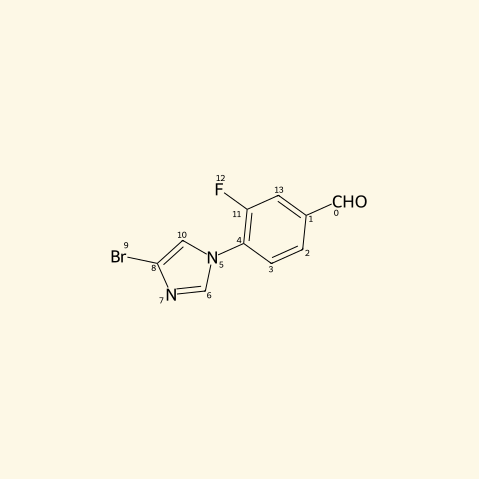 O=Cc1ccc(-n2cnc(Br)c2)c(F)c1